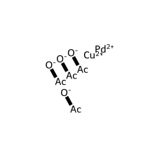 CC(=O)[O-].CC(=O)[O-].CC(=O)[O-].CC(=O)[O-].[Cu+2].[Pd+2]